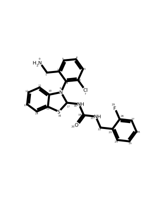 NCc1cccc(Cl)c1N1c2ccccc2SC1NC(=O)NCc1ccccc1F